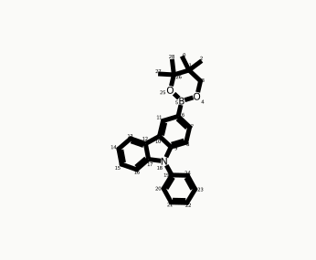 CC1(C)COB(c2ccc3c(c2)c2ccccc2n3-c2ccccc2)OC1(C)C